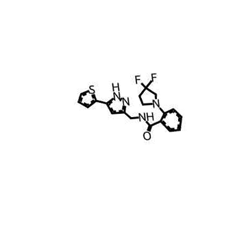 O=C(NCc1cc(-c2cccs2)[nH]n1)c1ccccc1N1CCC(F)(F)C1